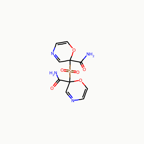 NC(=O)C1(S(=O)(=O)C2(C(N)=O)C=NC=CO2)C=NC=CO1